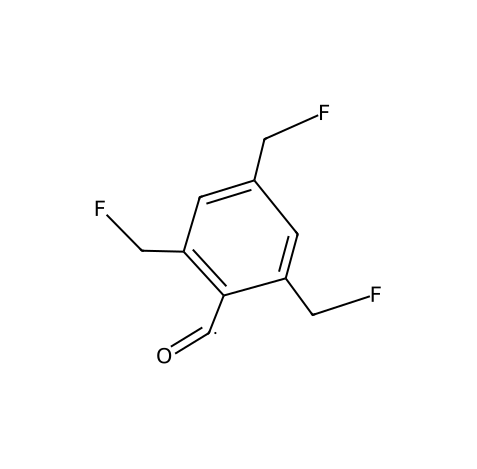 O=[C]c1c(CF)cc(CF)cc1CF